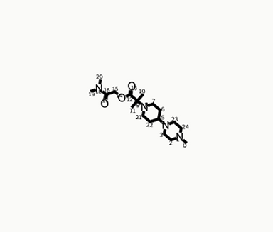 CN1CCN(C2CCN(C(C)(C)C(=O)OCC(=O)N(C)C)CC2)CC1